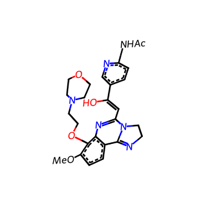 COc1ccc2c(c1OCCN1CCOCC1)N=C(/C=C(\O)c1ccc(NC(C)=O)nc1)N1CCN=C21